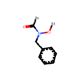 CCON(Cc1ccccc1)C(=O)C(C)=O